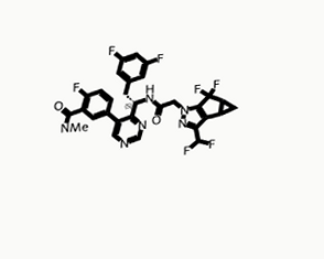 CNC(=O)c1cc(-c2cncnc2[C@H](Cc2cc(F)cc(F)c2)NC(=O)Cn2nc(C(F)F)c3c2C(F)(F)C2CC32)ccc1F